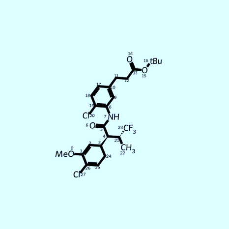 COC1=CC([C@@H](C(=O)Nc2cc(CCC(=O)OC(C)(C)C)ccc2Cl)[C@@H](C)C(F)(F)F)CC=C1Cl